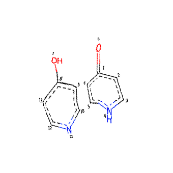 O=c1cc[nH]cc1.Oc1ccncc1